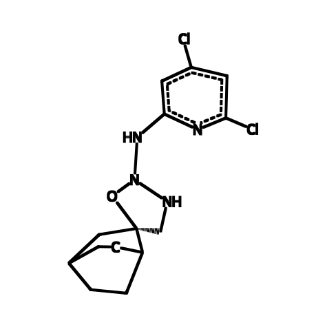 Clc1cc(Cl)nc(NN2NC[C@]3(CC4CCC3CC4)O2)c1